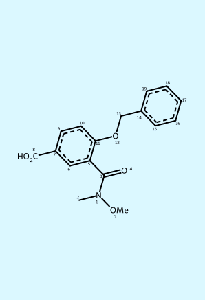 CON(C)C(=O)c1cc(C(=O)O)ccc1OCc1ccccc1